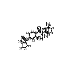 N#CN1[C@H]2CC[C@@H]1[C@H](NC(=O)c1ccc(-n3ncc4c3CCC4)cc1Cl)C2